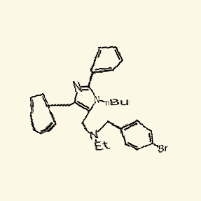 CCCCn1c(-c2ccccc2)nc(-c2ccccc2)c1CN(CC)Cc1ccc(Br)cc1